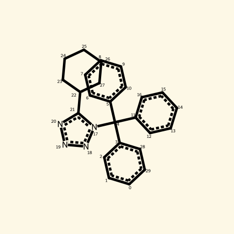 c1ccc(C(c2ccccc2)(c2ccccc2)n2nnnc2[C]2CCCCC2)cc1